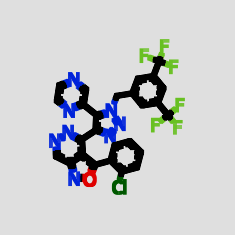 FC(F)(F)c1cc(Cn2nnc(-c3nncc4noc(-c5ccccc5Cl)c34)c2-c2cnccn2)cc(C(F)(F)F)c1